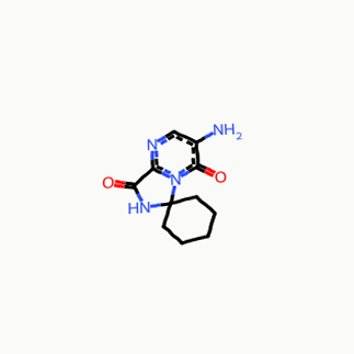 Nc1cnc2n(c1=O)C1(CCCCC1)NC2=O